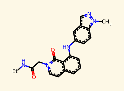 CCNC(=O)Cn1ccc2cccc(Nc3ccc4c(cnn4C)c3)c2c1=O